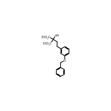 CCCC(CCc1cccc(OCc2ccccc2)c1)(C(=O)OCC)C(=O)OCC